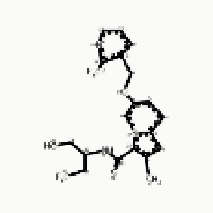 Cc1cc2ccc(OCc3cccnc3C(F)(F)F)cn2c1C(=O)NC(CO)CC(F)(F)F